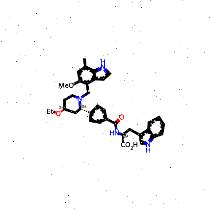 CCO[C@H]1CCN(Cc2c(OC)cc(C)c3[nH]ccc23)[C@H](c2ccc(C(=O)N[C@@H](Cc3c[nH]c4ccccc34)C(=O)O)cc2)C1